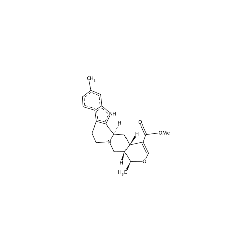 COC(=O)C1=CO[C@@H](C)[C@@H]2CN3CCc4c([nH]c5cc(C)ccc45)[C@H]3C[C@H]12